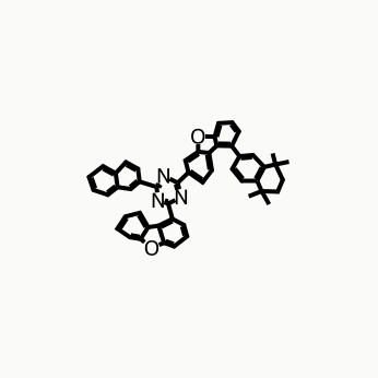 CC1(C)CCC(C)(C)c2cc(-c3cccc4oc5cc(-c6nc(-c7ccc8ccccc8c7)nc(-c7cccc8oc9ccccc9c78)n6)ccc5c34)ccc21